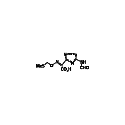 CSCO/N=C(\C(=O)O)c1nccc(NC=O)n1